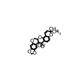 CC1(C)C=Cc2c(ccc3c2OC2COc4cc5c(cc4C2(O)C3=O)OCO5)O1